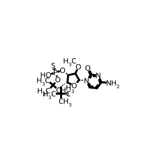 COC1[C@@H](OP(O)(=S)OC(C)(C)C)[C@@H](CC(C)(C)C)O[C@H]1n1ccc(N)nc1=O